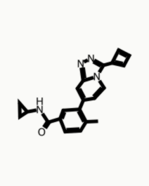 Cc1ccc(C(=O)NC2CC2)cc1-c1ccn2c(C3=CC=C3)nnc2c1